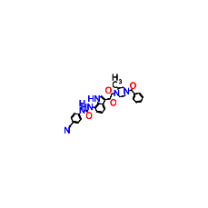 C[C@@H]1CN(C(=O)c2ccccc2)CCN1C(=O)C(=O)c1c[nH]c2c(NC(=O)Nc3ccc(C#N)cc3)cccc12